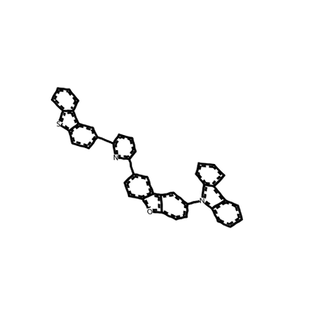 c1cc(-c2ccc3oc4ccc(-n5c6ccccc6c6ccccc65)cc4c3c2)nc(-c2ccc3sc4ccccc4c3c2)c1